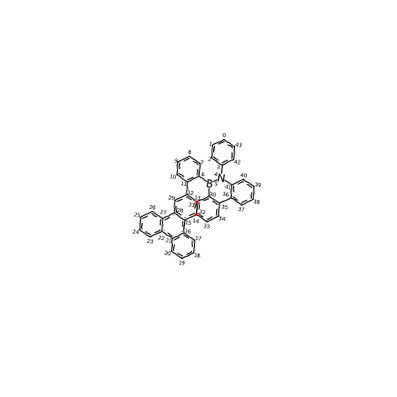 c1ccc(N2B(c3ccccc3-c3ccc4c5ccccc5c5ccccc5c4c3)c3ccccc3-c3ccccc32)cc1